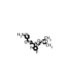 C[C@@H]1CN(C(=O)Cn2nc(C3CN(C(=O)c4ccnc(N)c4)C3)c3c(F)cc(F)cc32)C[C@H](C)O1